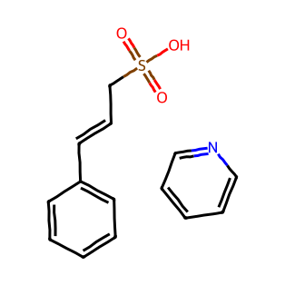 O=S(=O)(O)CC=Cc1ccccc1.c1ccncc1